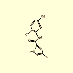 Cc1cc(C(=O)Nc2cc(O)ccc2Cl)n(C)n1